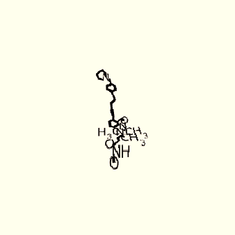 C/C(=N/c1cccc(C#CCCc2ccc(CN3CCCCCC3)cc2)c1C=O)N(C)C(C)CCC(=O)NC=O